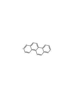 [c]1[c]c2ccc3c4ccccc4ccc3c2cc1